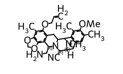 C=CCOc1c(C)c2c(c3c1CC1C4c5c(cc(C)c(OC)c5C)C[C@@H]([C@H](C#N)N1[C@H]3CN)N4C)OCO2